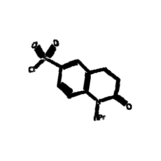 CCCN1C(=O)CCc2cc(S(=O)(=O)Cl)ccc21